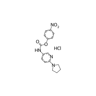 Cl.O=C(Nc1ccc(N2CCCC2)nc1)Oc1ccc([N+](=O)[O-])cc1